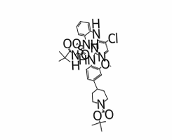 COc1cc(C2CCN(C(=O)OC(C)(C)C)CC2)ccc1Nc1ncc(Cl)c(Nc2ccccc2NS(=O)(=O)NC(=O)C(C)(C)C)n1